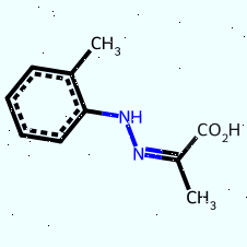 C/C(=N/Nc1ccccc1C)C(=O)O